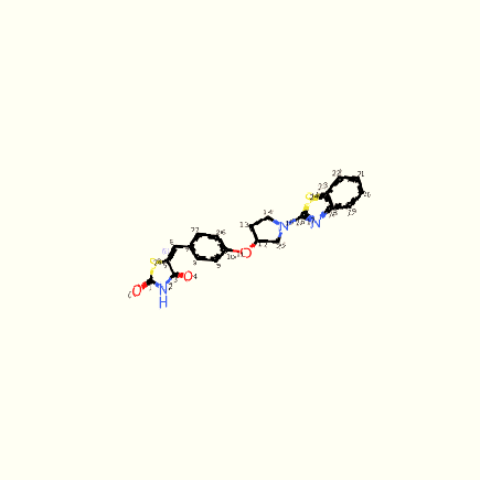 O=C1NC(=O)/C(=C\c2ccc(OC3CCN(c4nc5ccccc5s4)C3)cc2)S1